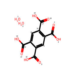 O.O.O=C(O)c1cc(C(=O)O)c(C(=O)O)cc1C(=O)O